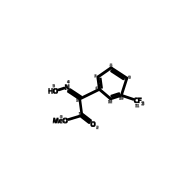 COC(=O)/C(=N\O)c1cccc(C(F)(F)F)c1